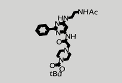 CC(=O)NCCNc1cc(NC(=O)CN2CCN(C(=O)OC(C)(C)C)CC2)nc(-c2ccccc2)n1